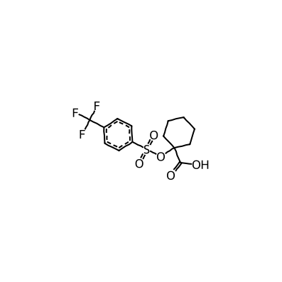 O=C(O)C1(OS(=O)(=O)c2ccc(C(F)(F)F)cc2)CCCCC1